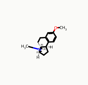 COc1ccc2c(c1)CC[C@]13CN(C)C[C@H]1CC[C@H]23